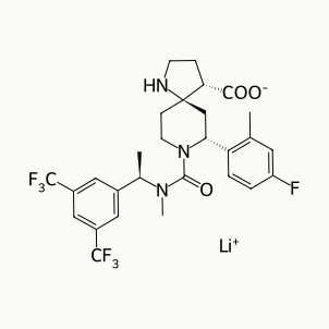 Cc1cc(F)ccc1[C@H]1C[C@@]2(CCN1C(=O)N(C)[C@H](C)c1cc(C(F)(F)F)cc(C(F)(F)F)c1)NCC[C@@H]2C(=O)[O-].[Li+]